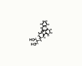 OCC(CO)Cc1ccc2c(c1)c1ccccc1n2Cc1ccccc1